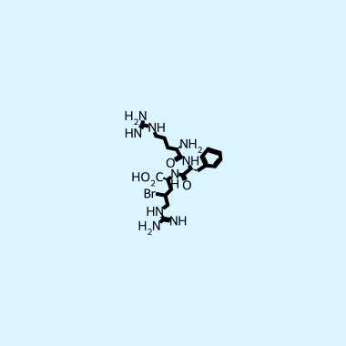 N=C(N)NCCC[C@H](N)C(=O)N[C@H](Cc1ccccc1)C(=O)N[C@@H](CC(Br)CNC(=N)N)C(=O)O